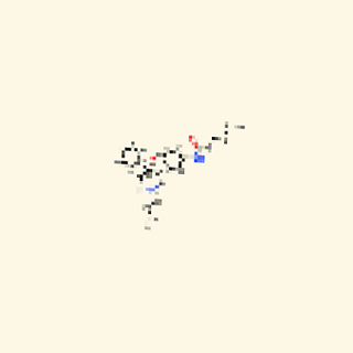 CCCCCC(=O)Nc1ccc(OC2(c3ccccc3)CCN(CCCC)CC2)cc1